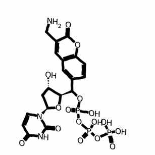 NCc1cc2cc(C(OP(=O)(O)OP(=O)(O)OP(=O)(O)O)[C@H]3O[C@@H](n4ccc(=O)[nH]c4=O)C[C@@H]3O)ccc2oc1=O